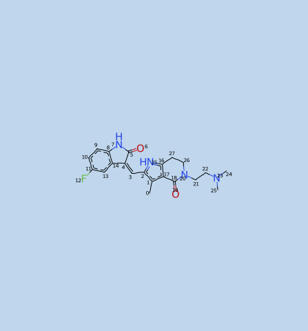 Cc1c(/C=C2\C(=O)Nc3ccc(F)cc32)[nH]c2c1C(=O)N(CCN(C)C)CC2